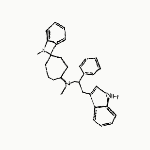 CN(C1CCC2(CC1)c1ccccc1N2C)C(Cc1c[nH]c2ccccc12)c1ccccc1